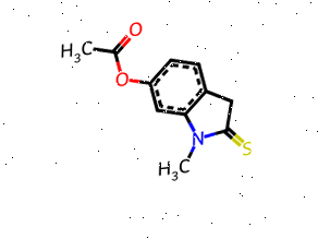 CC(=O)Oc1ccc2c(c1)N(C)C(=S)C2